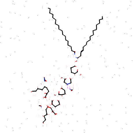 CCCCCCCCCCCCC/C=C/[C@@H](O)[C@H](CO[C@@H]1O[C@H](CO)[C@@H](O[C@@H]2O[C@H](CO)[C@H](O[C@@H]3O[C@H](CO)[C@H](O[C@@H]4O[C@H](CO[C@]5(C(=O)O)C[C@H](O)[C@@H](NC(=O)CO)[C@H]([C@H](O)[C@H](O)CO)O5)[C@H](O)[C@H](O[C@]5(C(=O)O)C[C@H](O)[C@@H](NC(C)=O)[C@H]([C@H](O)[C@H](O)CO)O5)[C@H]4O)[C@H](O)[C@H]3NC(C)=O)[C@H](O)[C@H]2O)[C@H](O)[C@H]1O)NC(=O)CCCCCCCCCCCCCCCCC